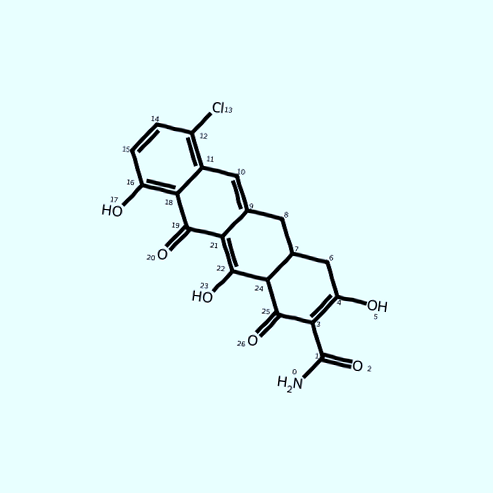 NC(=O)C1=C(O)CC2CC3=Cc4c(Cl)ccc(O)c4C(=O)C3=C(O)C2C1=O